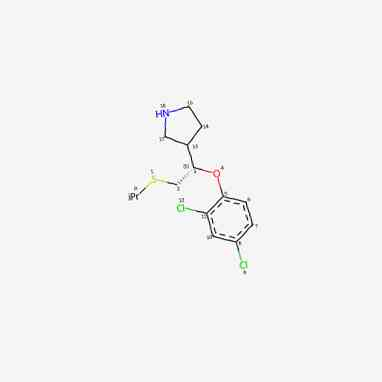 CC(C)SC[C@@H](Oc1ccc(Cl)cc1Cl)C1CCNC1